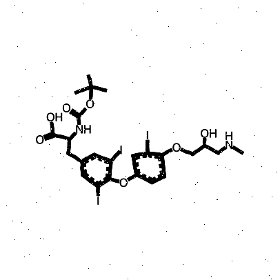 CNCC(O)COc1ccc(Oc2c(I)cc(CC(NC(=O)OC(C)(C)C)C(=O)O)cc2I)cc1I